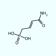 NC(=O)C=CCP(=O)(O)O